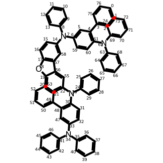 c1ccc(-c2cc(N(c3ccccc3)c3ccc4oc5ccc(N(c6ccccc6)c6ccc(N(c7ccccc7)c7ccccc7)cc6-c6ccccc6)cc5c4c3)ccc2N(c2ccccc2)c2ccccc2)cc1